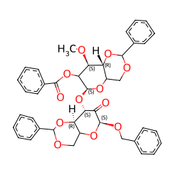 CO[C@@H]1C(OC(=O)c2ccccc2)[C@H](O[C@@H]2C(=O)[C@@H](OCc3ccccc3)OC3COC(c4ccccc4)O[C@H]32)OC2COC(c3ccccc3)O[C@H]21